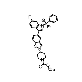 CC(C)(C)OC(=O)N1CCC(n2cc3cc(-c4cn(S(=O)(=O)c5ccccc5)c5cc(F)ccc45)ccc3n2)CC1